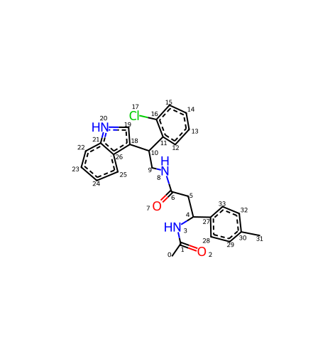 CC(=O)NC(CC(=O)NCC(c1ccccc1Cl)c1c[nH]c2ccccc12)c1ccc(C)cc1